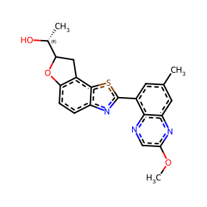 COc1cnc2c(-c3nc4ccc5c(c4s3)CC([C@@H](C)O)O5)cc(C)cc2n1